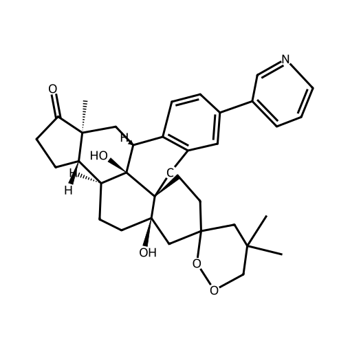 CC1(C)COOC2(CC[C@@]34Cc5cc(-c6cccnc6)ccc5[C@H]5C[C@]6(C)C(=O)CC[C@H]6[C@H](CC[C@@]3(O)C2)[C@]54O)C1